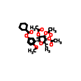 COc1ccc(OC(=O)C2CCCCC2)cc1[C@H]1O[C@@H](C)[C@@H](OC(C)=O)[C@@H](OC(C)=O)[C@@H]1OC(C)=O